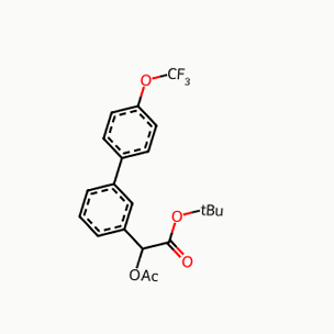 CC(=O)OC(C(=O)OC(C)(C)C)c1cccc(-c2ccc(OC(F)(F)F)cc2)c1